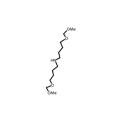 COCOCCCCNCCCCOCOC